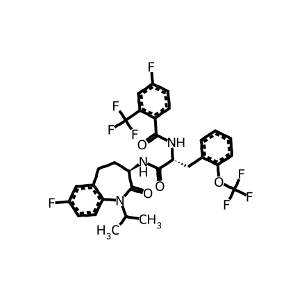 CC(C)N1C(=O)[C@H](NC(=O)[C@@H](Cc2ccccc2OC(F)(F)F)NC(=O)c2ccc(F)cc2C(F)(F)F)CCc2cc(F)ccc21